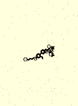 CCc1cc(OCCCCCl)ccc1-c1ccc(C[C@H](NC(=O)OC(C)(C)C)C(=O)OC(C)(C)C)cc1